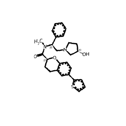 CN(C(=O)[C@@H]1CCc2cc(-c3cccs3)ccc2O1)[C@H](CN1CC[C@H](O)C1)c1ccccc1